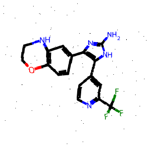 Nc1nc(-c2ccc3c(c2)NCCO3)c(-c2ccnc(C(F)(F)F)c2)[nH]1